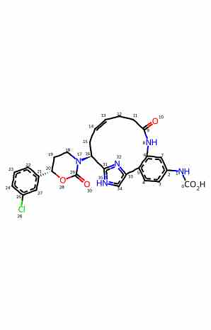 O=C(O)Nc1ccc2c(c1)NC(=O)CCC=CC[C@H](N1CC[C@@H](c3cccc(Cl)c3)OC1=O)c1nc-2c[nH]1